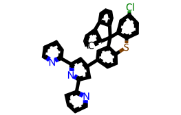 Clc1ccc2c(c1)C1(c3cc(-c4cc(-c5ccccn5)nc(-c5ccccn5)c4)ccc3S2)c2ccccc2-c2ccccc21